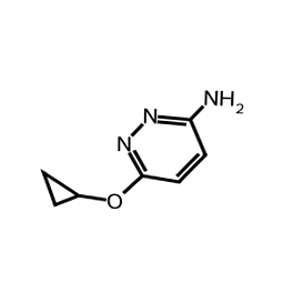 Nc1ccc(OC2CC2)nn1